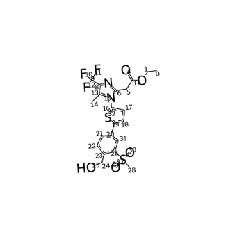 CCOC(=O)Cc1nc(C(F)(F)F)c(C)n1-c1ccc(-c2ccc(CO)c(S(C)(=O)=O)c2)s1